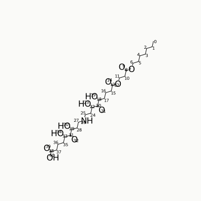 CCCCCCCOC(=O)CCOC(=O)CCCC(O)C(=O)C(O)CCNCCC(O)C(=O)C(O)CCCC(=O)O